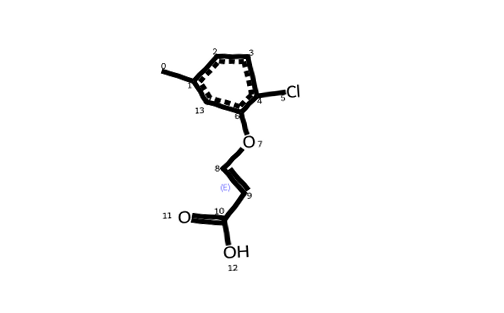 Cc1ccc(Cl)c(O/C=C/C(=O)O)c1